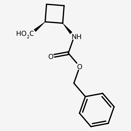 O=C(N[C@@H]1CC[C@@H]1C(=O)O)OCc1ccccc1